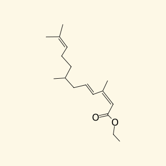 CCOC(=O)C=C(C)C=CCC(C)CCC=C(C)C